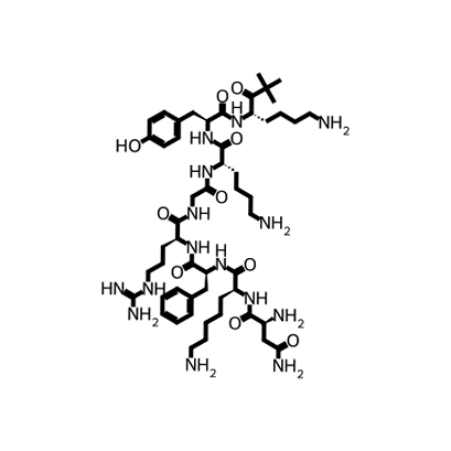 CC(C)(C)C(=O)[C@H](CCCCN)NC(=O)[C@H](Cc1ccc(O)cc1)NC(=O)[C@H](CCCCN)NC(=O)CNC(=O)[C@H](CCCNC(=N)N)NC(=O)[C@H](Cc1ccccc1)NC(=O)[C@H](CCCCCN)NC(=O)[C@@H](N)CC(N)=O